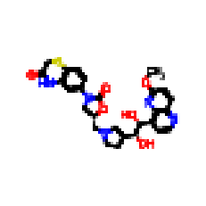 COc1ccc2nccc([C@@H](O)[C@H](O)C3CCN(C[C@@H]4CN(c5ccc6c(c5)NC(=O)CS6)C(=O)O4)C3)c2n1